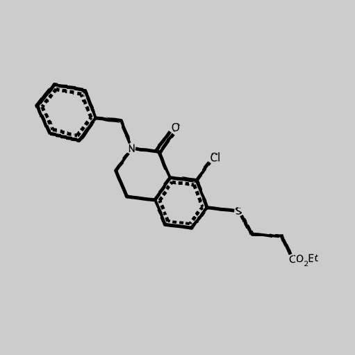 CCOC(=O)CCSc1ccc2c(c1Cl)C(=O)N(Cc1ccccc1)CC2